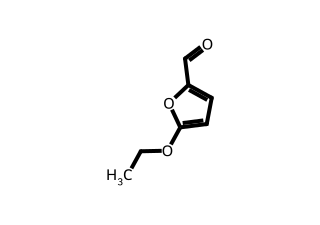 CCOc1ccc(C=O)o1